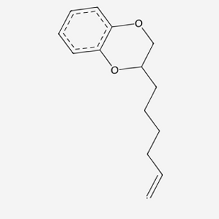 [CH]=CCCCCC1COc2ccccc2O1